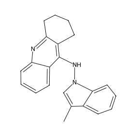 Cc1cn(Nc2c3c(nc4ccccc24)CCCC3)c2ccccc12